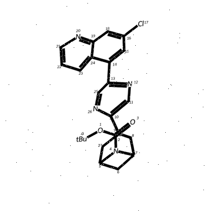 CC(C)(C)OC(=O)N1C2CC1CN(c1cnc(-c3cc(Cl)cc4ncccc34)cn1)C2